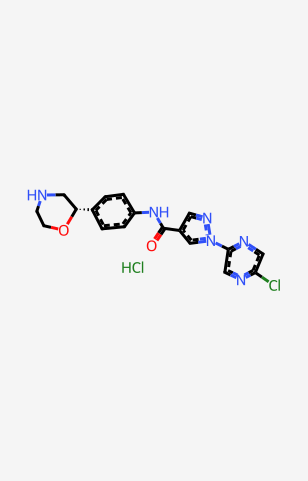 Cl.O=C(Nc1ccc([C@H]2CNCCO2)cc1)c1cnn(-c2cnc(Cl)cn2)c1